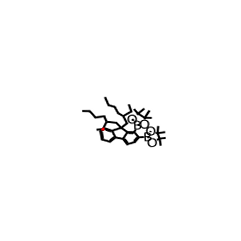 CCCCC(CC)CC1(CC(CC)CCCC)c2ccccc2-c2ccc(B3OC(C)(C)C(C)(C)O3)c(B3OC(C)(C)C(C)(C)O3)c21